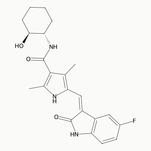 Cc1[nH]c(/C=C2\C(=O)Nc3ccc(F)cc32)c(C)c1C(=O)N[C@H]1CCCC[C@@H]1O